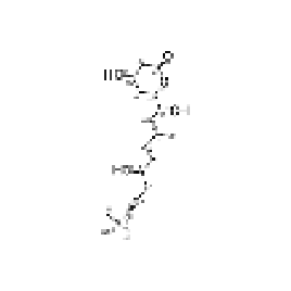 CC(/C=C/[C@H](O)CC#C[Si](C)(C)C)=C\[C@@H](O)[C@H]1C[C@@H](O)CC(=O)O1